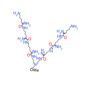 COCCN(CCCNC(=O)[C@@H](N)CCCCNC(=O)[C@@H](N)CCCCNC(=O)[C@@H](N)CCCCN)CCCNC(=O)[C@@H](N)CCCCNC(=O)[C@@H](N)CCCCNC(=O)[C@@H](N)CCCCN